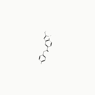 CCc1cc2cc(C(=O)Cc3ccc(F)cc3)ccc2n1C